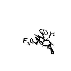 O=C(O)c1nn(CC(F)(F)F)c2cc(Br)ccc12